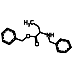 CCC(NCc1ccccc1)C(=O)OCc1ccccc1